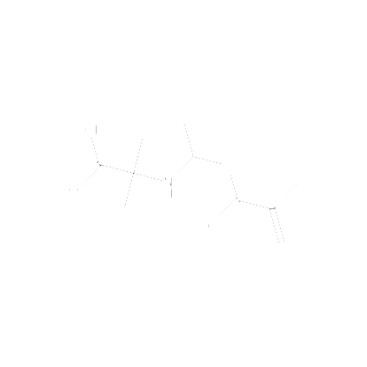 C=C(C)C(=O)OC(C)NC(C)(C)C(=O)O